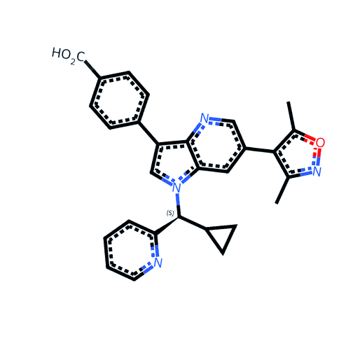 Cc1noc(C)c1-c1cnc2c(-c3ccc(C(=O)O)cc3)cn([C@H](c3ccccn3)C3CC3)c2c1